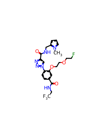 Cn1cccc1CNC(=O)c1cn(-c2ccc(C(=O)NCC(F)(F)F)cc2OCCOCCF)nn1